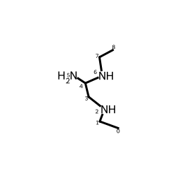 CCNCC(N)NCC